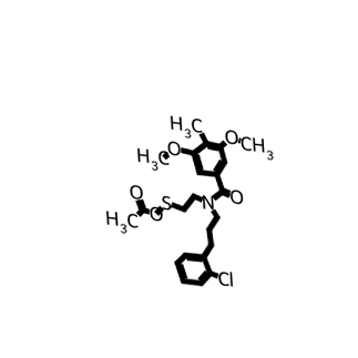 COc1cc(C(=O)N(CCCc2ccccc2Cl)CCSOC(C)=O)cc(OC)c1C